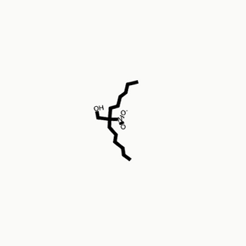 CCCCCCC(CO)(CCCCCC)[N+](=O)[O-]